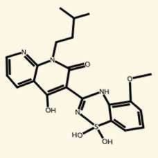 COc1cccc2c1NC(c1c(O)c3cccnc3n(CCC(C)C)c1=O)=NS2(O)O